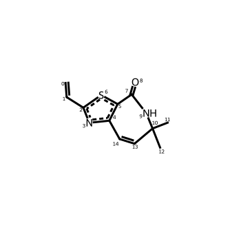 C=Cc1nc2c(s1)C(=O)NC(C)(C)C=C2